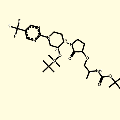 CC(COC1CCN([C@H]2CCN(c3ncc(C(F)(F)F)cn3)C[C@@H]2O[Si](C)(C)C(C)(C)C)C1=O)NC(=O)OC(C)(C)C